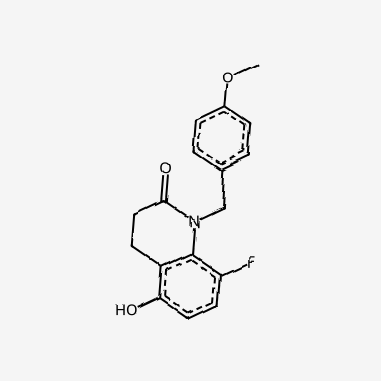 COc1ccc(CN2C(=O)CCc3c(O)ccc(F)c32)cc1